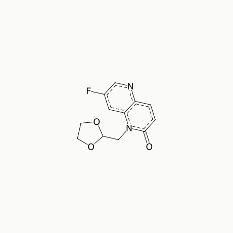 O=c1ccc2ncc(F)cc2n1CC1OCCO1